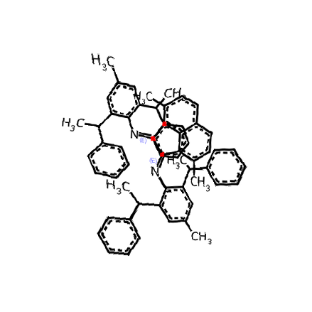 Cc1cc(C(C)c2ccccc2)c(/N=C2/C(=N/c3c(C(C)c4ccccc4)cc(C)cc3C(C)c3ccccc3)c3c(C)ccc4ccc(C)c2c34)c(C(C)c2ccccc2)c1